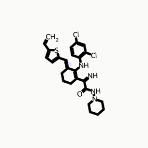 C=Cc1ccc(/C=C2\CCCC(C(=N)C(=O)NN3CCCCC3)=C2Nc2ccc(Cl)cc2Cl)s1